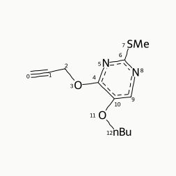 C#CCOc1nc(SC)ncc1OCCCC